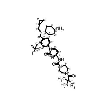 CC(C)(N)C(=O)N1CCN(C(=O)Nc2ccn(-c3ccc(CN(CC4CC4)[C@H]4CC[C@H](N)CC4)c(OC(F)(F)F)c3)c(=O)n2)CC1